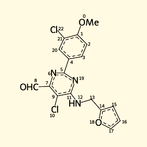 COc1ccc(-c2nc(C=O)c(Cl)c(NCc3ccco3)n2)cc1Cl